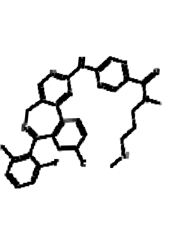 CNCCCN(C)C(=O)c1ccc(Nc2ncc3c(n2)-c2ccc(Cl)cc2C(c2c(F)cccc2F)=NC3)cc1